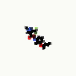 CCCC(C)OC1=C(C)/C(=N/OC(=O)c2cn(C)nc2C(F)F)CCC1